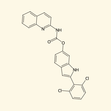 O=C(Nc1ccc2ccccc2n1)Oc1ccc2cc(-c3c(Cl)cccc3Cl)[nH]c2c1